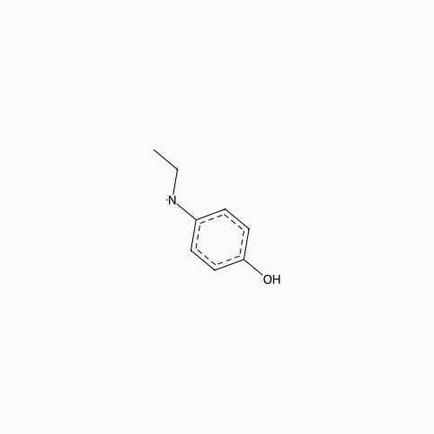 CC[N]c1ccc(O)cc1